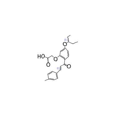 C/C=C(\CC)Oc1ccc(C(=O)/C=C/c2ccc(C)cc2)c(OCC(=O)O)c1